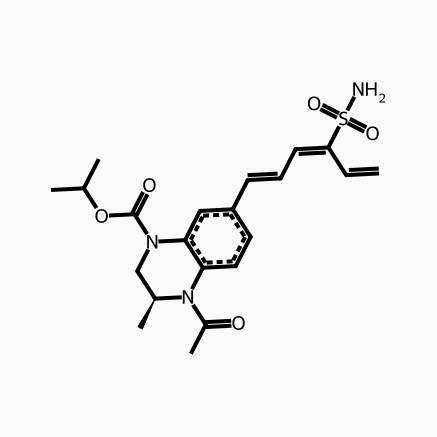 C=C/C(=C\C=C\c1ccc2c(c1)N(C(=O)OC(C)C)C[C@H](C)N2C(C)=O)S(N)(=O)=O